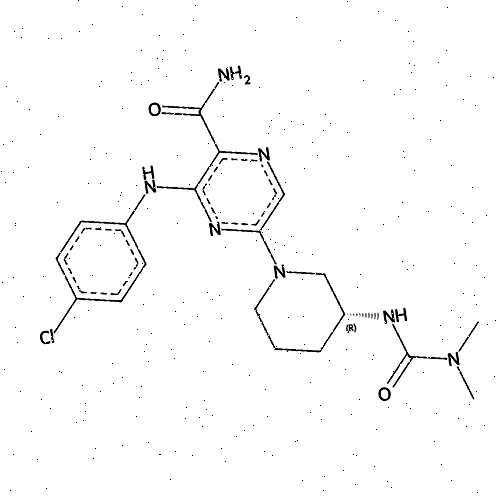 CN(C)C(=O)N[C@@H]1CCCN(c2cnc(C(N)=O)c(Nc3ccc(Cl)cc3)n2)C1